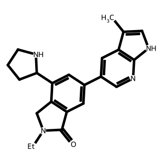 CCN1Cc2c(cc(-c3cnc4[nH]cc(C)c4c3)cc2C2CCCN2)C1=O